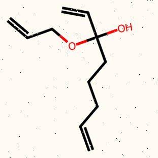 C=CCCCC(O)(C=C)OCC=C